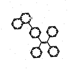 c1ccc(C(=C(c2ccccc2)c2ccc(-c3nccc4ccccc34)cc2)c2ccccc2)cc1